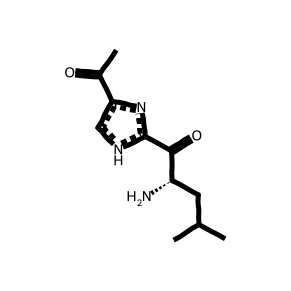 CC(=O)c1c[nH]c(C(=O)[C@@H](N)CC(C)C)n1